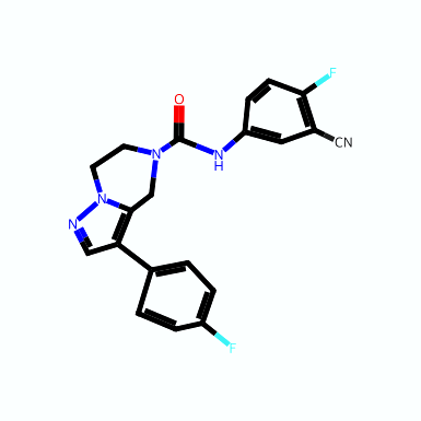 N#Cc1cc(NC(=O)N2CCn3ncc(-c4ccc(F)cc4)c3C2)ccc1F